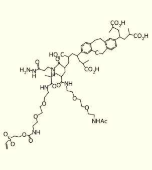 C=CS(=O)(=O)CCOC(=O)NCCOCCOCCNC(=O)C(C)CC(CC(CC(CC(CC(C)C(=O)O)c1ccc2c(c1)CCc1ccc(C(CC(C)C(=O)O)CC(C)C(=O)O)cc1CC2)C(=O)O)C(=O)NCCC(=O)NN)C(=O)NCCOCCOCCNC(C)=O